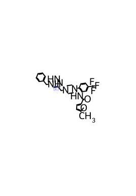 Cc1ccc(C(=O)Nc2cc(C(F)(F)F)ccc2N2CCN(C/C(=C/NCc3ccccc3)N=N)CC2)o1